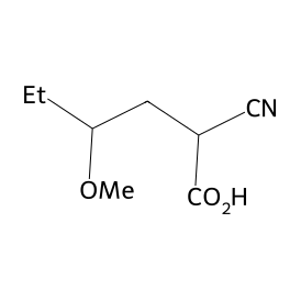 CCC(CC(C#N)C(=O)O)OC